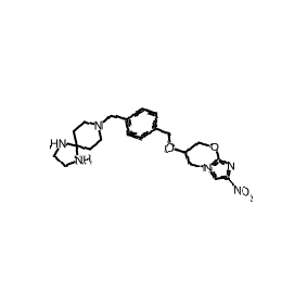 O=[N+]([O-])c1cn2c(n1)OCC(OCc1ccc(CN3CCC4(CC3)NCCN4)cc1)C2